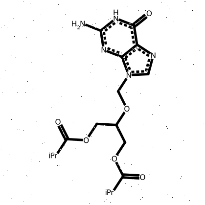 CC(C)C(=O)OCC(COC(=O)C(C)C)OCn1cnc2c(=O)[nH]c(N)nc21